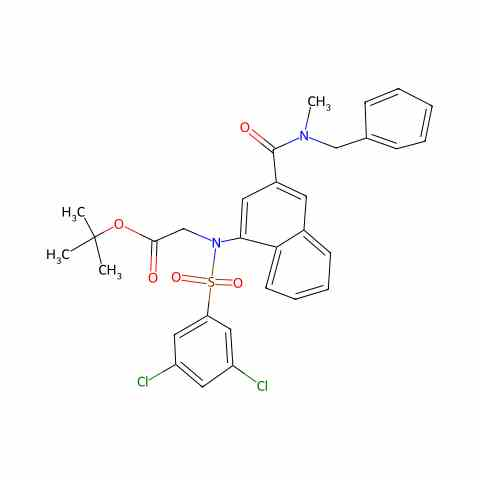 CN(Cc1ccccc1)C(=O)c1cc(N(CC(=O)OC(C)(C)C)S(=O)(=O)c2cc(Cl)cc(Cl)c2)c2ccccc2c1